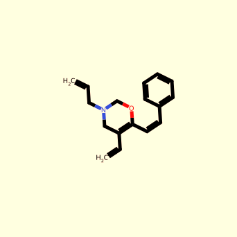 C=CCN1COC(/C=C\c2ccccc2)=C(C=C)C1